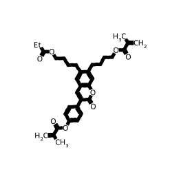 C=C(C)C(=O)OCCCCc1cc2oc(=O)c(-c3ccc(OC(=O)C(=C)C)cc3)cc2cc1CCCCOC(=O)CC